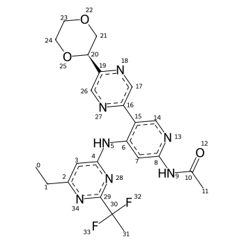 CCc1cc(Nc2cc(NC(C)=O)ncc2-c2cnc([C@@H]3COCCO3)cn2)nc(C(C)(F)F)n1